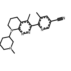 Cc1cc(C#N)cnc1-c1nnc2c(c1C)CCCN2C1CCCN(C)C1